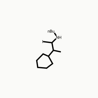 CCCCNC(I)C(C)C1CCCCC1